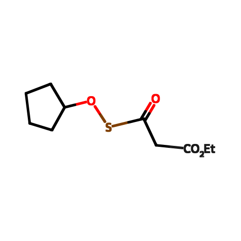 CCOC(=O)CC(=O)SOC1CCCC1